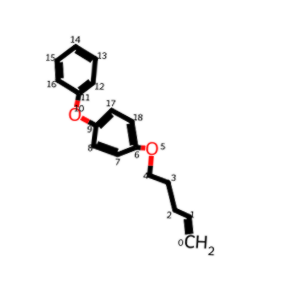 C=CCCCOc1ccc(Oc2ccccc2)cc1